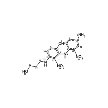 Nc1ccc(Nc2c(O)ccc(NCCCO)c2[N+](=O)[O-])c([N+](=O)[O-])c1